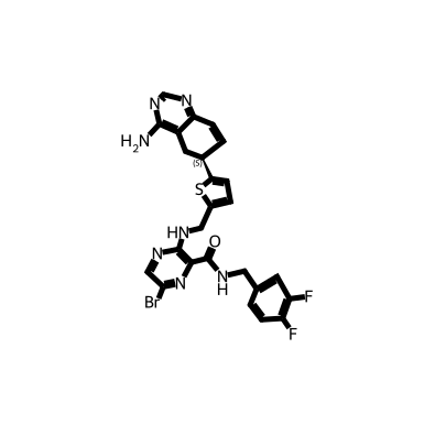 Nc1ncnc2c1C[C@H](c1ccc(CNc3ncc(Br)nc3C(=O)NCc3ccc(F)c(F)c3)s1)C=C2